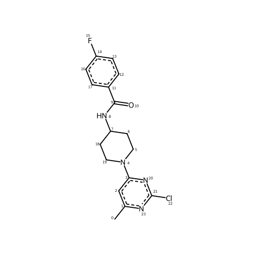 Cc1cc(N2CCC(NC(=O)c3ccc(F)cc3)CC2)nc(Cl)n1